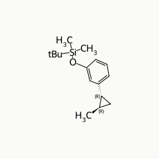 C[C@@H]1C[C@H]1c1cccc(O[Si](C)(C)C(C)(C)C)c1